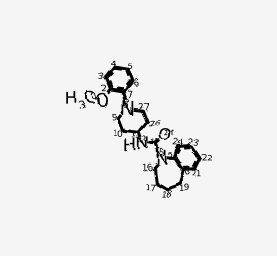 COc1ccccc1N1CCC(NC(=O)N2CCCCc3ccccc32)CC1